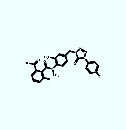 Cc1cc(Cn2nnn(-c3ccc(F)cc3)c2=O)ccc1N(C)C(=O)c1c(I)cccc1C(=O)O